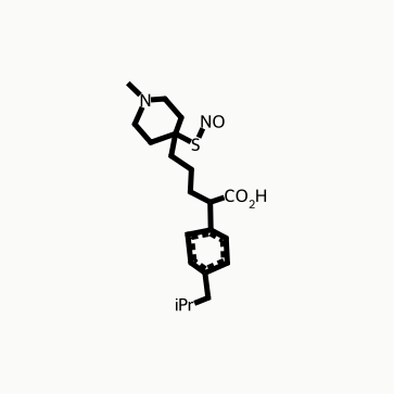 CC(C)Cc1ccc(C(CCCC2(SN=O)CCN(C)CC2)C(=O)O)cc1